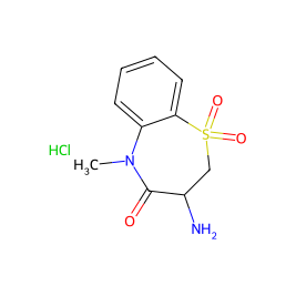 CN1C(=O)C(N)CS(=O)(=O)c2ccccc21.Cl